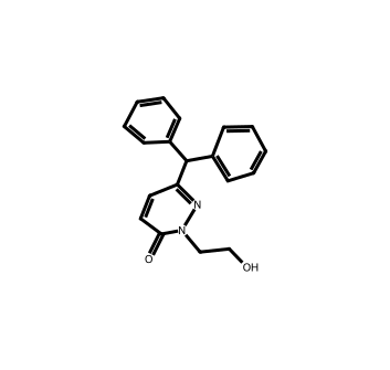 O=c1ccc(C(c2ccccc2)c2ccccc2)nn1CCO